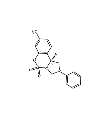 Cc1ccc2c(c1)OS(=O)(=O)N1CN(c3ccccc3)C[C@@H]21